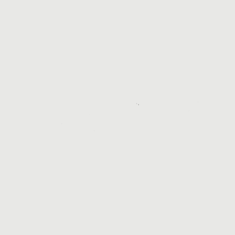 CCC(c1ccc(C(F)(F)F)cc1)N1CC(Oc2c(F)cc(C3CCCCC3)cc2F)C1